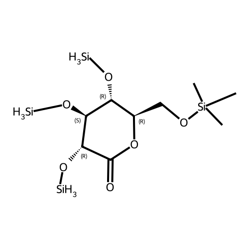 C[Si](C)(C)OC[C@H]1OC(=O)[C@H](O[SiH3])[C@@H](O[SiH3])[C@@H]1O[SiH3]